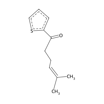 CC(C)=CCCC(=O)c1cccs1